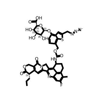 CCC[C@@H]1C(=O)OCc2c1cc1n(c2=O)Cc2c-1nc1cc(F)c(C)c3c1c2C(NC(=O)OCc1ccc(O[C@@H]2O[C@H](C(=O)O)[C@@H](O)[C@H](O)[C@H]2O)c2cc(CN=[N+]=[N-])sc12)CC3